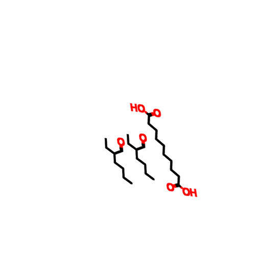 CCCCC(C=O)CC.CCCCC(C=O)CC.O=C(O)CCCCCCCCC(=O)O